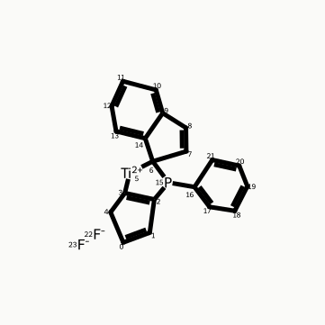 C1=CC2=[C](C1)[Ti+2][C]1(C=Cc3ccccc31)P2c1ccccc1.[F-].[F-]